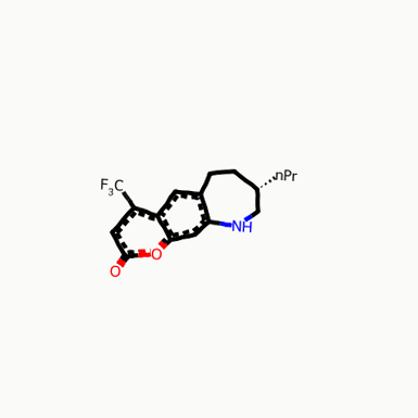 CCC[C@H]1CCc2cc3c(C(F)(F)F)cc(=O)oc3cc2NC1